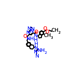 C=CCOC(=O)c1ccc2c(c1C)CC[C@@H]2NC(=O)c1cc(C(=O)NCc2ccc3c(c2)CC(NC(N)=NC#N)CC3)nc2ncnn12